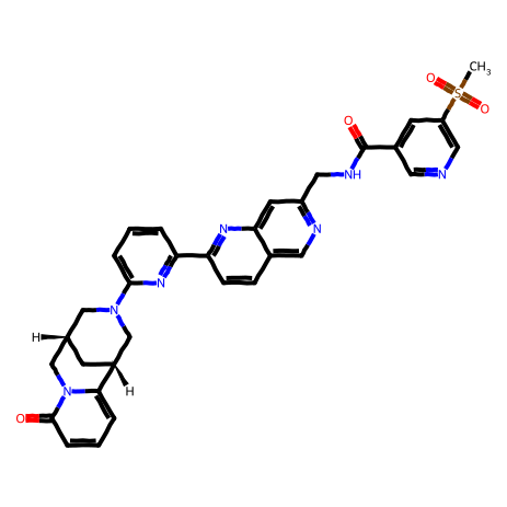 CS(=O)(=O)c1cncc(C(=O)NCc2cc3nc(-c4cccc(N5C[C@@H]6C[C@H](C5)c5cccc(=O)n5C6)n4)ccc3cn2)c1